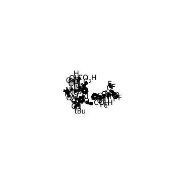 C#CCOc1cc(-n2nc(C(C)(C)C)oc2=O)c(Cl)cc1Cl.COc1nc(C)nc(NC(=O)NS(=O)(=O)c2ccccc2CCC(F)(F)F)n1.O=C(Nc1nc(OC(F)F)cc(OC(F)F)n1)NS(=O)(=O)c1ccccc1C(=O)O.O=C(O)CNCP(=O)(O)O